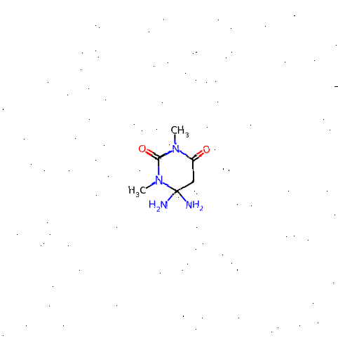 CN1C(=O)CC(N)(N)N(C)C1=O